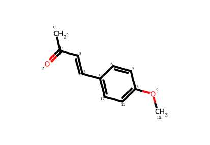 [CH2]C(=O)C=Cc1ccc(OC)cc1